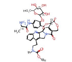 CC[C@@]1(OC(=O)c2ccc(NC(=O)[C@H](C)N)cc2OC2OC(C(=O)O)[C@@H](O)[C@H](O)[C@H]2O)C(=O)OCc2c1cc1n(c2=O)Cc2c-1nc1ccccc1c2CCN(C(=O)OC(C)(C)C)C(C)C